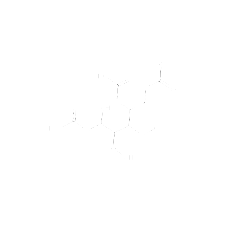 COC(C(C)OC(C)=O)C(OC)C(COC(C)=O)OC(C)=O